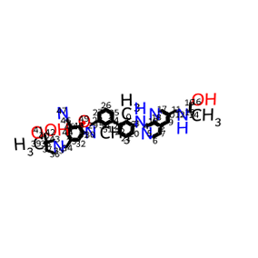 Cc1c(Nc2nccc3cc(CNC(C)CO)cnc23)cccc1-c1cccc(-c2nc3cc(CN4CCC(C)(C(=O)O)C4)cc(C#N)c3o2)c1C